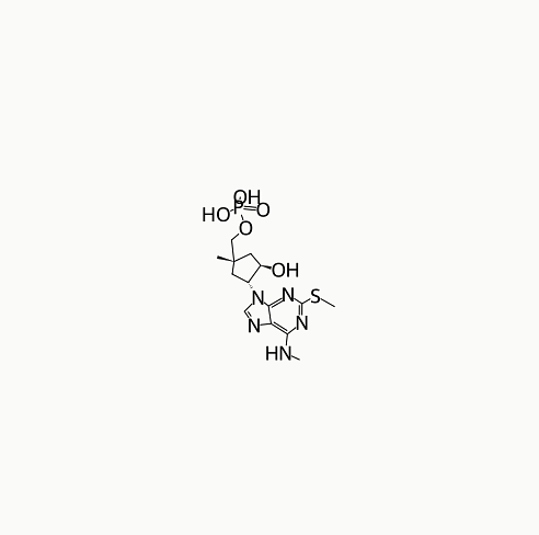 CNc1nc(SC)nc2c1ncn2[C@@H]1C[C@](C)(COP(=O)(O)O)C[C@H]1O